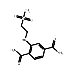 CS(=O)(=O)CCNc1cc(C(N)=O)ccc1C(N)=O